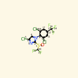 [O-][S+](c1nc(Cl)cn1-c1c(Cl)cc(C(F)(F)F)cc1Cl)C(F)F